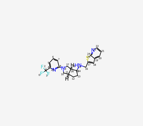 FC(F)(F)c1cccc(N2C[C@H]3CC[C@H](NCc4cc5cccnc5s4)[C@H]3C2)n1